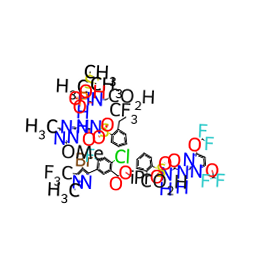 CC(C)OC(=O)c1cc(-c2nn(C)c(C(F)(F)F)c2Br)c(F)cc1Cl.COc1nc(C)nc(NC(=O)NS(=O)(=O)c2ccccc2CCC(F)(F)F)n1.C[S+](C)C.O=C(Nc1nc(OC(F)F)cc(OC(F)F)n1)NS(=O)(=O)c1ccccc1C(=O)O.O=C(O)CNCP(=O)([O-])O